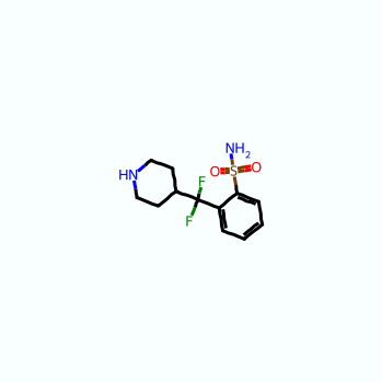 NS(=O)(=O)c1ccccc1C(F)(F)C1CCNCC1